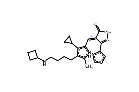 Cc1[nH]c(/C=C2/C(=O)NN=C2c2cccs2)c(C2CC2)c1CCCCNC1CCC1